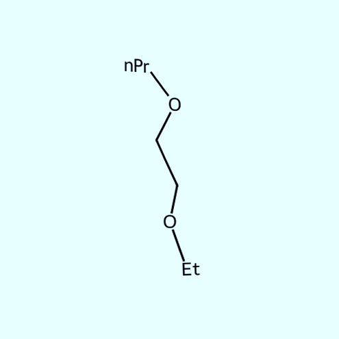 [CH2]CCOCCOCC